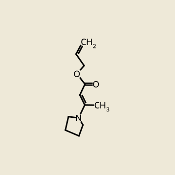 C=CCOC(=O)C=C(C)N1CCCC1